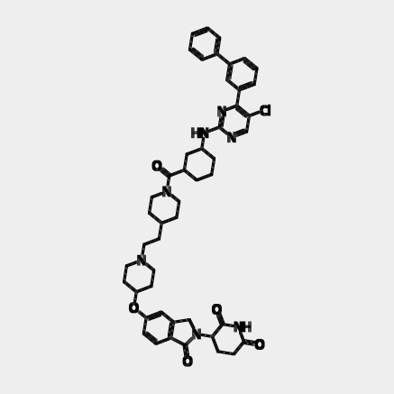 O=C1CCC(N2Cc3cc(OC4CCN(CCC5CCN(C(=O)C6CCCC(Nc7ncc(Cl)c(-c8cccc(-c9ccccc9)c8)n7)C6)CC5)CC4)ccc3C2=O)C(=O)N1